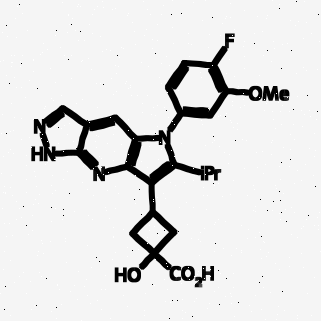 COc1cc(-n2c(C(C)C)c(C3CC(O)(C(=O)O)C3)c3nc4[nH]ncc4cc32)ccc1F